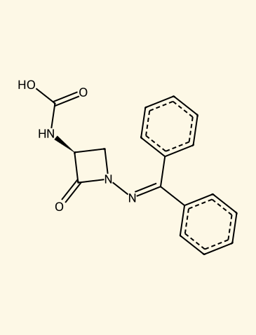 O=C(O)N[C@H]1CN(N=C(c2ccccc2)c2ccccc2)C1=O